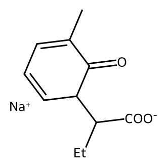 CCC(C(=O)[O-])C1C=CC=C(C)C1=O.[Na+]